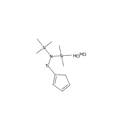 C[Si](C)(C)[N]([Ti][C]1=CC=CC1)[Si](C)(C)C.Cl.Cl